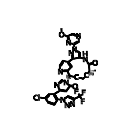 COc1cncc(-n2cc3c(n2)-c2ccnc(c2)[C@@H](n2cnc(-c4cc(Cl)ccc4-n4cc(C(F)(F)F)nn4)cc2=O)CCC[C@@H](C)C(=O)N3)n1